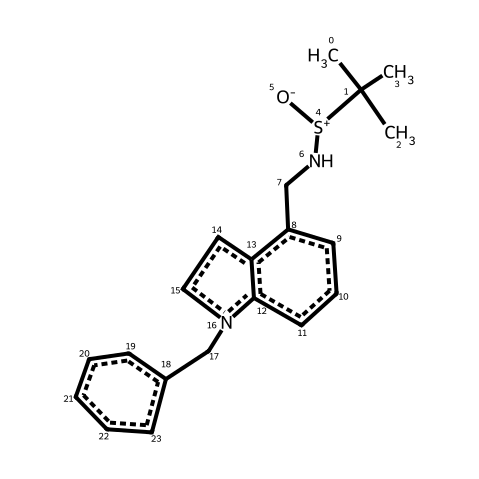 CC(C)(C)[S+]([O-])NCc1cccc2c1ccn2Cc1ccccc1